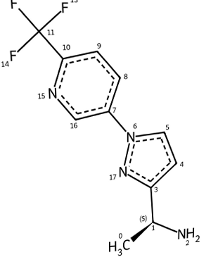 C[C@H](N)c1ccn(-c2ccc(C(F)(F)F)nc2)n1